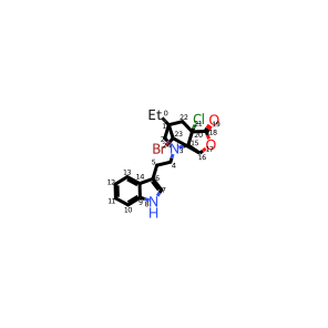 CCC12CN(CCc3c[nH]c4ccccc34)C3C(OC(=O)C3(Cl)C1)C2Br